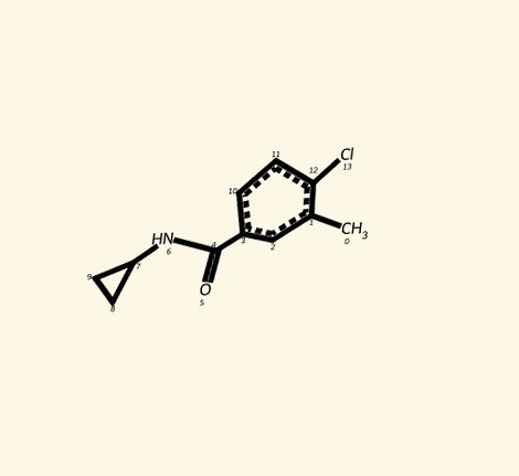 Cc1cc(C(=O)NC2CC2)ccc1Cl